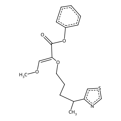 COC=C(OCCCC(C)c1cscn1)C(=O)Oc1ccccc1